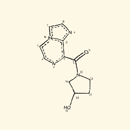 O=C(c1nccn2ccnc12)N1CCC(O)C1